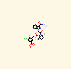 COC(=O)c1cc(Cl)c(F)c(CNC(=O)[C@@H]2[C@H]3CC[C@H](C3)N2C(=O)Cn2nc(C(N)=O)c3ccccc32)c1